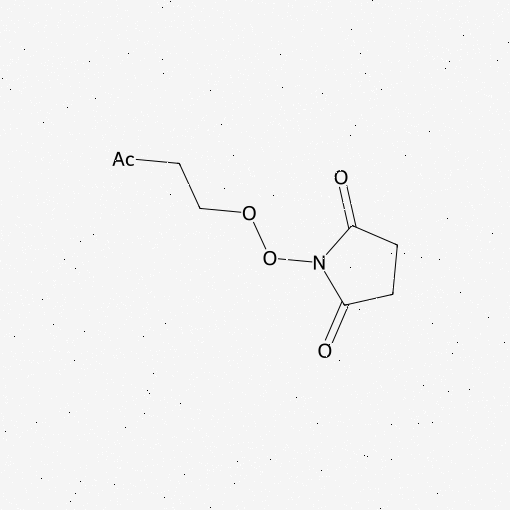 CC(=O)CCOON1C(=O)CCC1=O